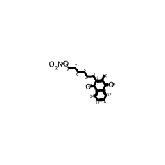 CC1=C(CCCCCCO[N+](=O)[O-])C(=O)c2ccccc2C1=O